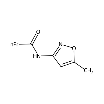 CCCC(=O)Nc1cc(C)on1